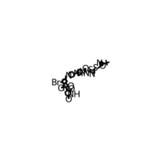 CC(C)(C)c1cnc(CSc2cnc(NC(=O)N3CCN(C4CCN(Cc5cc(Br)c6c(c5)C(=O)N(C5CCC(=O)NC5=O)C6=O)CC4)CC3)s2)o1